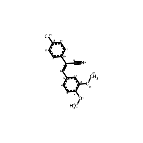 COc1ccc(C=C(C#N)c2ccc(Cl)cc2)cc1OC